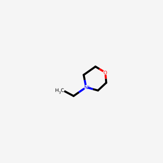 CC[N+]1CCOCC1